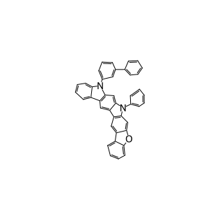 c1ccc(-c2cccc(-n3c4ccccc4c4cc5c6cc7c(cc6n(-c6ccccc6)c5cc43)oc3ccccc37)c2)cc1